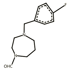 O=CN1CCCN(Cc2ccc(F)cc2)CC1